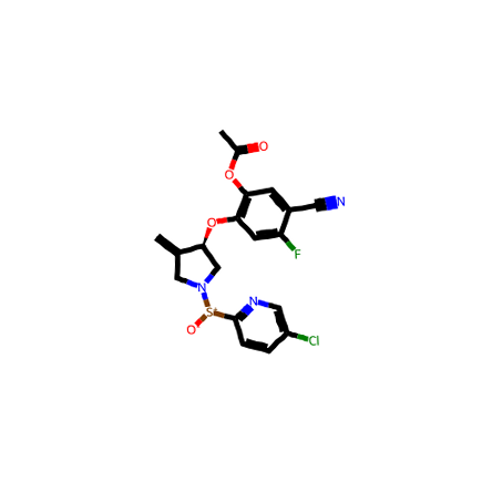 C=C1CN([S+]([O-])c2ccc(Cl)cn2)C[C@@H]1Oc1cc(F)c(C#N)cc1OC(C)=O